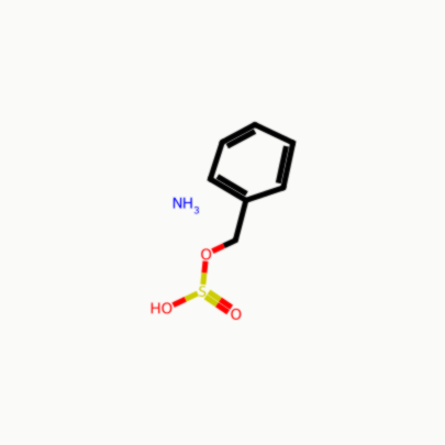 N.O=S(O)OCc1ccccc1